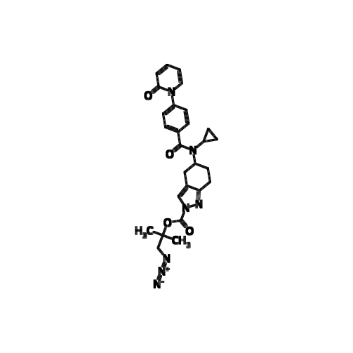 CC(C)(CN=[N+]=[N-])OC(=O)n1cc2c(n1)CCC(N(C(=O)c1ccc(-n3ccccc3=O)cc1)C1CC1)C2